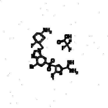 CSc1sc(C(=N)N)cc1S(=O)(=O)c1cc(Br)c2ncn(Cc3cc(N)ccc3F)c2c1.O=C(O)C(F)(F)F